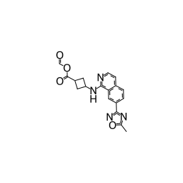 Cc1nc(-c2ccc3ccnc(NC4CC(C(=O)OC=O)C4)c3c2)no1